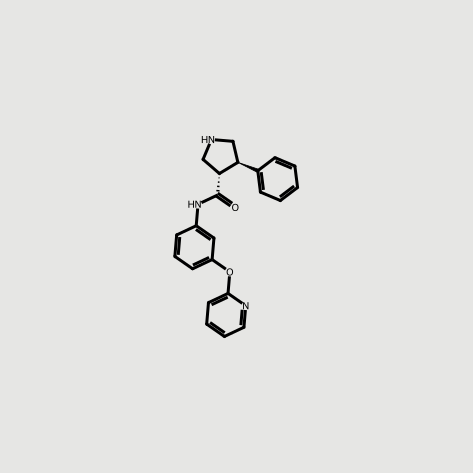 O=C(Nc1cccc(Oc2ccccn2)c1)[C@@H]1CNC[C@H]1c1ccccc1